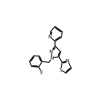 Fc1ccccc1Cn1nc(-c2ccccn2)cc1-c1nccs1